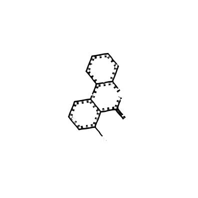 Nc1cccc2c1c(=O)oc1ccccc12